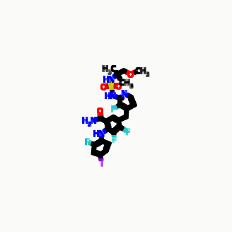 COCC(C)(C)NS(=O)(=O)Nc1nccc(Cc2cc(C(N)=O)c(Nc3ccc(I)cc3F)c(F)c2F)c1F